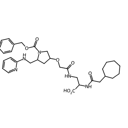 O=C(COC1CC(CNc2ccccn2)N(C(=O)OCc2ccccc2)C1)NCC(NC(=O)CC1CCCCCC1)C(=O)O